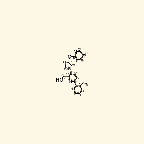 CCc1ccccc1-c1ccc(N2CC[C@H](Oc3ccc(C)cn3)C2)c(CO)n1